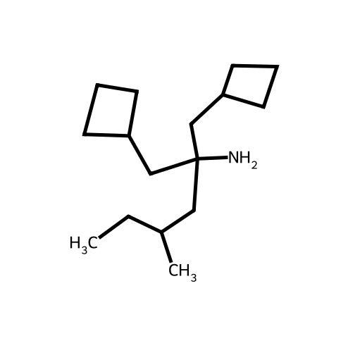 CCC(C)CC(N)(CC1CCC1)CC1CCC1